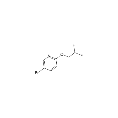 FC(F)COc1ccc(Br)cn1